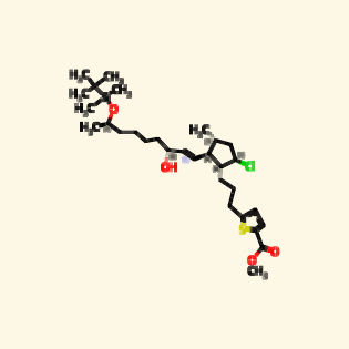 COC(=O)c1ccc(CCC[C@@H]2[C@@H](/C=C/[C@H](O)CCCC[C@@H](C)O[Si](C)(C)C(C)(C)C)[C@H](C)C[C@H]2Cl)s1